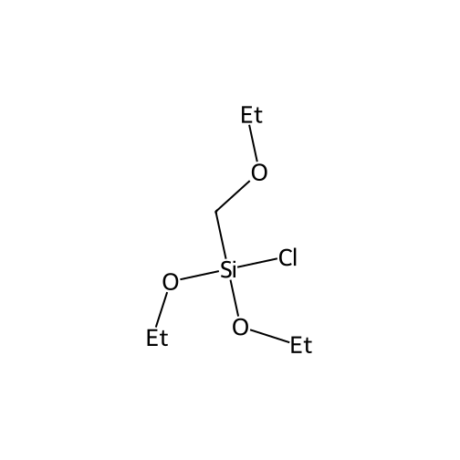 CCOC[Si](Cl)(OCC)OCC